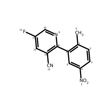 Cc1ccc([N+](=O)[O-])cc1-c1ncc(F)cc1C#N